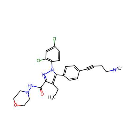 [C-]#[N+]CCC#Cc1ccc(-c2c(CC)c(C(=O)NN3CCOCC3)nn2-c2ccc(Cl)cc2Cl)cc1